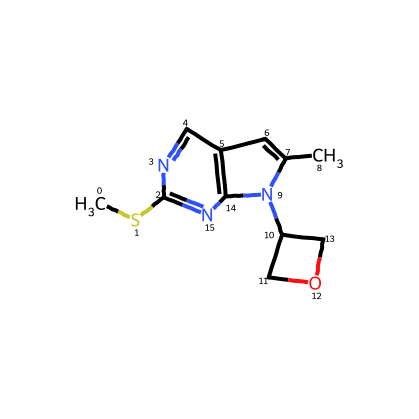 CSc1ncc2cc(C)n(C3COC3)c2n1